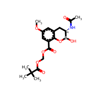 COc1cc2c(c(C(=O)OCOC(=O)C(C)(C)C)c1)OB(O)[C@@H](NC(C)=O)C2